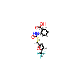 O=C(Nc1ccccc1C(=O)O)SCc1ccc(C(F)(F)F)o1